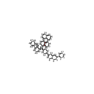 c1ccc(-c2ccc3ccc(-c4ccc(N(c5ccc(-c6cccc7cccc(-c8ccccc8)c67)cc5)c5cccc6c5sc5ccccc56)cc4)cc3c2)cc1